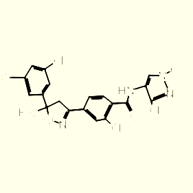 Cc1cc(C2=NOC(c3cc(Cl)cc(Cl)c3)(C(F)(F)F)C2)ccc1C(=O)Nc1cn(C)nc1C(F)(F)F